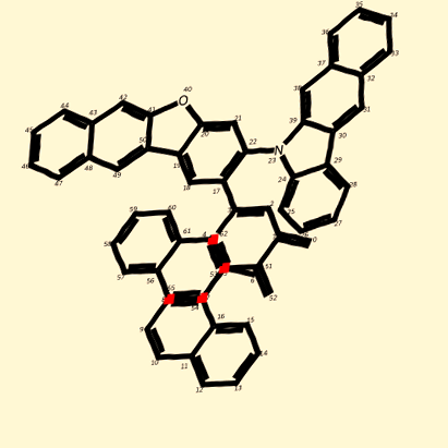 C=C(/C=C(\N=C(/C)c1cccc2ccccc12)c1cc2c(cc1-n1c3ccccc3c3cc4ccccc4cc31)oc1cc3ccccc3cc12)C(=C)c1ccc2ccccc2c1